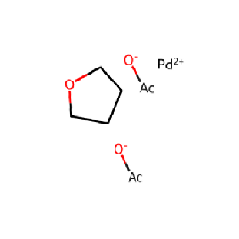 C1CCOC1.CC(=O)[O-].CC(=O)[O-].[Pd+2]